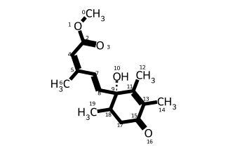 COC(=O)/C=C(C)\C=C\[C@@]1(O)C(C)=C(C)C(=O)CC1C